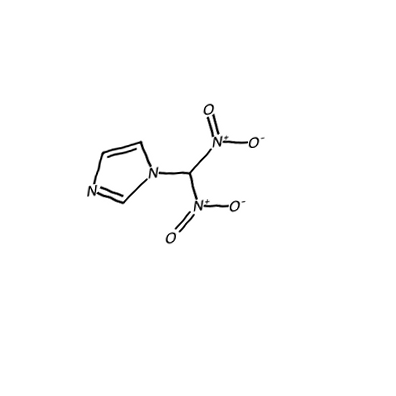 O=[N+]([O-])C(n1ccnc1)[N+](=O)[O-]